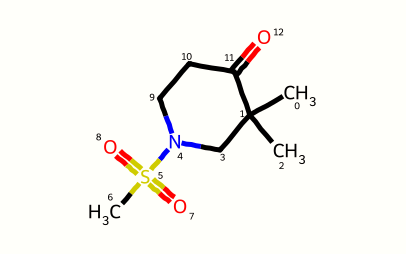 CC1(C)CN(S(C)(=O)=O)CCC1=O